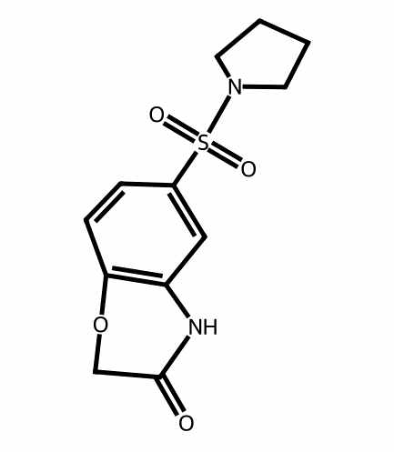 O=C1COc2ccc(S(=O)(=O)N3CCCC3)cc2N1